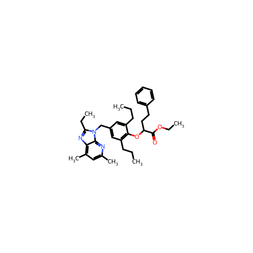 CCCc1cc(Cn2c(CC)nc3c(C)cc(C)nc32)cc(CCC)c1OC(CCc1ccccc1)C(=O)OCC